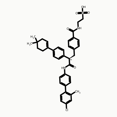 Cc1cc(Cl)ccc1-c1ccc(NC(=O)[C@H](Cc2ccc(C(=O)NCCS(=O)(=O)O)cc2)c2ccc(C3=CCC(C)(C)CC3)cc2)cc1